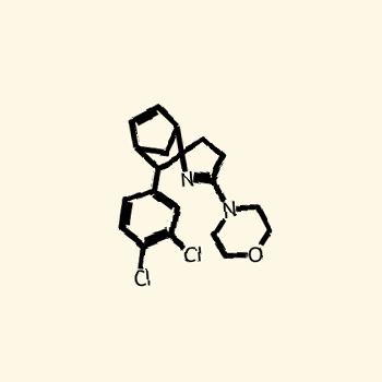 Clc1ccc(C2C3C=CC(C3)C23CCC(N2CCOCC2)=N3)cc1Cl